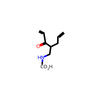 C=CCC(CNC(=O)O)C(=O)C=C